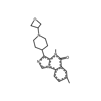 Cc1ccc2c(c1)c(=O)n(C)c1c(C3CCN(C4COC4)CC3)ncn21